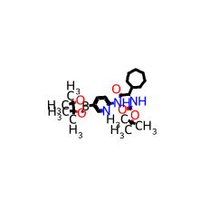 CC(C)(C)OC(=O)N[C@H](C(=O)Nc1ccc(B2OC(C)(C)C(C)(C)O2)cn1)C1CCCCCC1